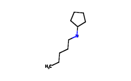 CCCCC[N]C1CCCC1